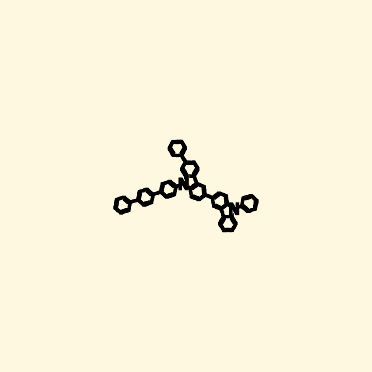 c1ccc(-c2ccc(-c3ccc(-n4c5ccc(-c6ccc7c(c6)c6ccccc6n7-c6ccccc6)cc5c5ccc(-c6ccccc6)cc54)cc3)cc2)cc1